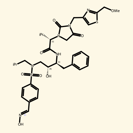 COCc1nc(CN2C(=O)CN([C@H](C(=O)N[C@@H](Cc3ccccc3)[C@H](O)CN(CC(C)C)S(=O)(=O)c3ccc(/C=N/O)cc3)C(C)C)C2=O)cs1